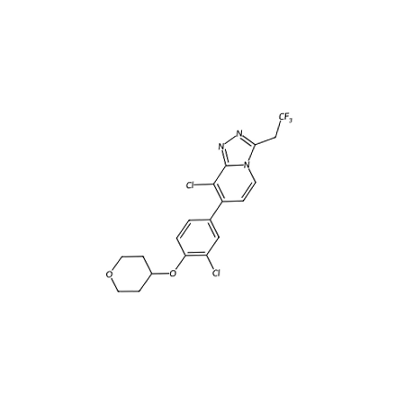 FC(F)(F)Cc1nnc2c(Cl)c(-c3ccc(OC4CCOCC4)c(Cl)c3)ccn12